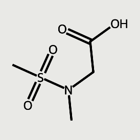 CN(CC(=O)O)S(C)(=O)=O